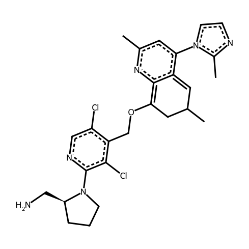 Cc1cc(-n2ccnc2C)c2c(n1)=C(OCc1c(Cl)cnc(N3CCC[C@H]3CN)c1Cl)CC(C)C=2